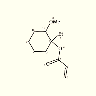 C=CC(=O)OC1(CC)CCCCC1OC